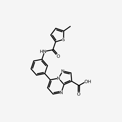 Cc1ccc(C(=O)Nc2cccc(-c3ccnc4c(C(=O)O)cnn34)c2)s1